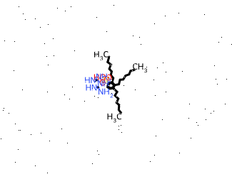 CCCCCCCCc1ccc(S(=O)(=O)O)c(CCCCCCCC)c1CCCCCCCC.N=C(N)NC(=N)N